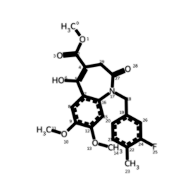 COC(=O)C1=C(O)c2cc(OC)c(OC)cc2N(Cc2ccc(C)c(F)c2)C(=O)C1